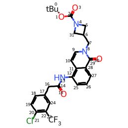 CC(C)(C)OC(=O)N1CC(Cn2ccc3c(NC(=O)Cc4ccc(Cl)c(C(F)(F)F)c4)cccc3c2=O)C1